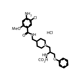 COc1cc(N)c(Cl)cc1C(=O)NCC1CCN(CC(COc2ccccc2)NC(=O)O)CC1.Cl